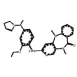 CCOc1cc(C(C)N2CCCC2)ccc1Nc1cc2c(cn1)N(C)C(=O)c1ccccc1N2C